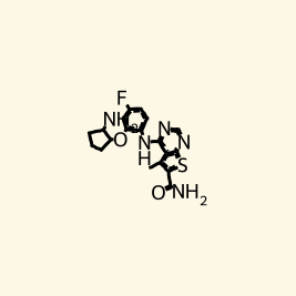 Cc1c(C(N)=O)sc2ncnc(Nc3ccc(F)cc3OC3CCCC3N)c12